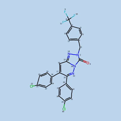 O=c1n(Cc2ccc(C(F)(F)F)cc2)nc2cc(-c3ccc(Cl)cc3)c(-c3ccc(Cl)cc3)nn12